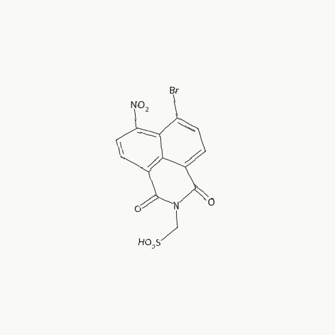 O=C1c2ccc(Br)c3c([N+](=O)[O-])ccc(c23)C(=O)N1CS(=O)(=O)O